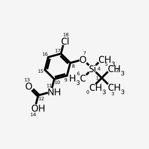 CC(C)(C)[Si](C)(C)Oc1cc(NC(=O)O)ccc1Cl